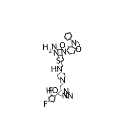 Nc1nc2sc(CNC3CCN(CCCC(O)(Cn4cncn4)c4ccc(F)cc4F)CC3)cc2n(-c2ccc3c(c2)N(c2ccccc2)CCO3)c1=O